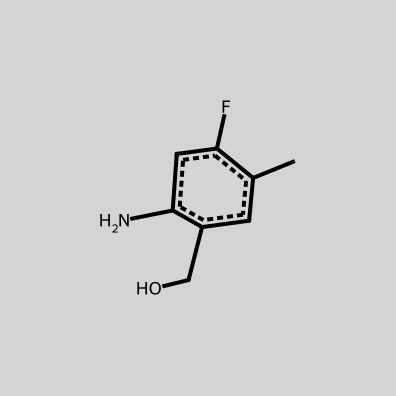 Cc1cc(CO)c(N)cc1F